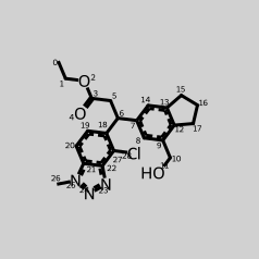 CCOC(=O)CC(c1cc(CO)c2c(c1)CCC2)c1ccc2c(nnn2C)c1Cl